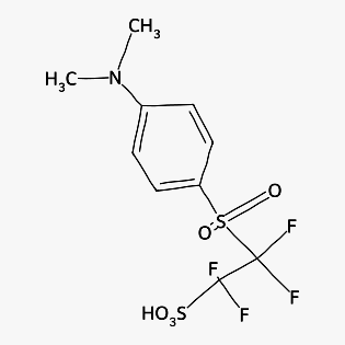 CN(C)c1ccc(S(=O)(=O)C(F)(F)C(F)(F)S(=O)(=O)O)cc1